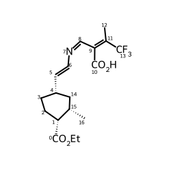 CCOC(=O)[C@@H]1CC[C@H](/C=C/N=C\C(C(=O)O)=C(/C)C(F)(F)F)C[C@@H]1C